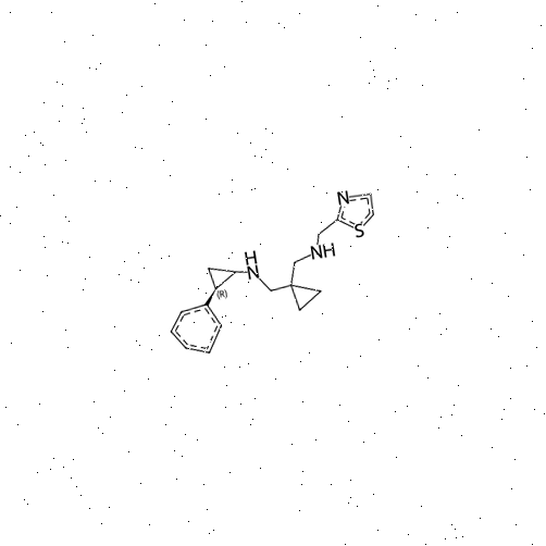 c1ccc([C@H]2CC2NCC2(CNCc3nccs3)CC2)cc1